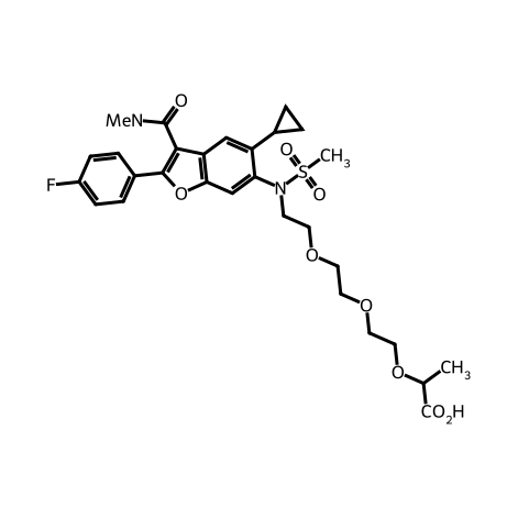 CNC(=O)c1c(-c2ccc(F)cc2)oc2cc(N(CCOCCOCCOC(C)C(=O)O)S(C)(=O)=O)c(C3CC3)cc12